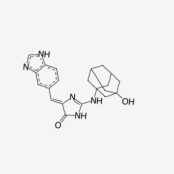 O=C1NC(NC23CC4CC(CC(O)(C4)C2)C3)=N/C1=C\c1ccc2[nH]cnc2c1